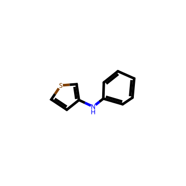 c1ccc(Nc2ccsc2)cc1